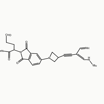 CNC(=O)C(CCC=O)N1C(=O)c2ccc(N3CC(C#C/C(C=N)=C/NC(C)(C)C)C3)cc2C1=O